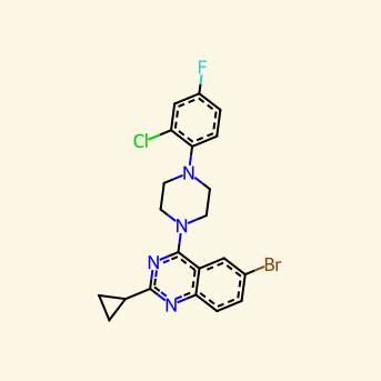 Fc1ccc(N2CCN(c3nc(C4CC4)nc4ccc(Br)cc34)CC2)c(Cl)c1